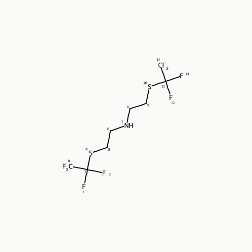 FC(F)(F)C(F)(F)SCCNCCSC(F)(F)C(F)(F)F